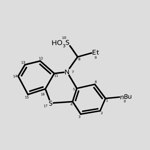 CCCCc1ccc2c(c1)N(C(CC)S(=O)(=O)O)c1ccccc1S2